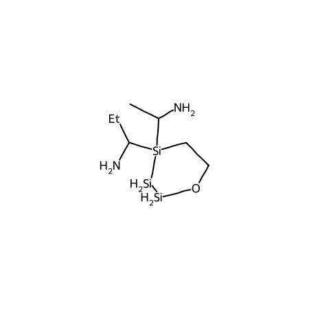 CCC(N)[Si]1(C(C)N)CCO[SiH2][SiH2]1